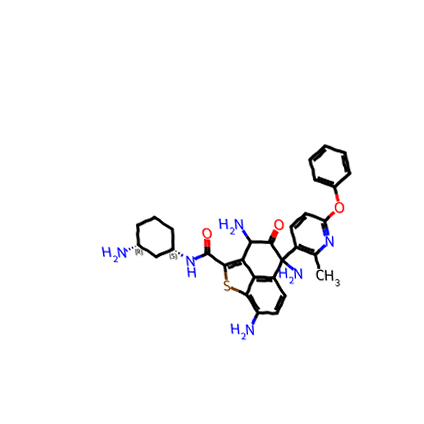 Cc1nc(Oc2ccccc2)ccc1C1(N)C(=O)C(N)c2c(C(=O)N[C@H]3CCC[C@@H](N)C3)sc3c(N)ccc1c23